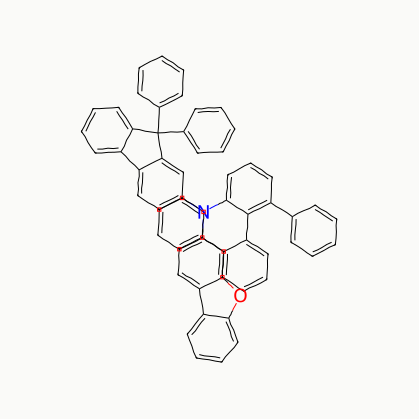 c1ccc(-c2ccccc2-c2c(-c3ccccc3)cccc2N(c2ccc3c(c2)C(c2ccccc2)(c2ccccc2)c2ccccc2-3)c2ccc3c(c2)oc2ccccc23)cc1